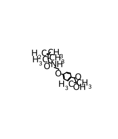 C=C(C)C(C)(C)C(=O)NCCOc1ccc(C(=O)C(C)(C)O)cc1